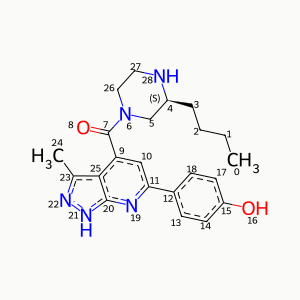 CCCC[C@H]1CN(C(=O)c2cc(-c3ccc(O)cc3)nc3[nH]nc(C)c23)CCN1